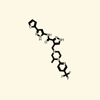 CC1CN(Cc2c[nH]nc2C(=O)Nc2cc(-c3ccco3)n[nH]2)CCN1c1ccc(C(F)(F)F)cn1